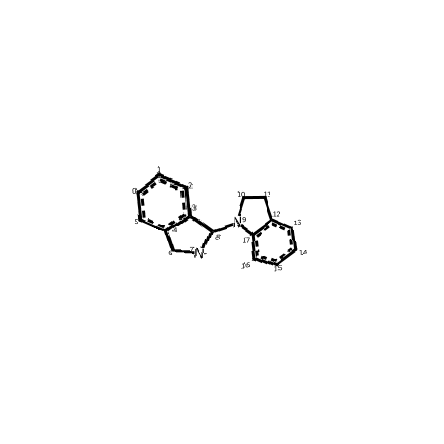 c1ccc2c(c1)C[N]C2N1CCc2ccccc21